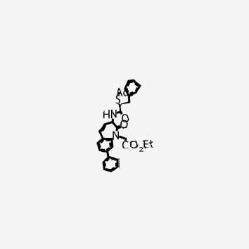 CCOC(=O)CN1C(=O)C(NC(=O)[C@H](Cc2ccccc2)SC(C)=O)C=Cc2ccc(-c3ccccc3)cc21